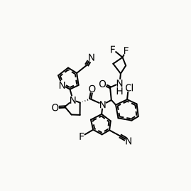 N#Cc1cc(F)cc(N(C(=O)[C@@H]2CCC(=O)N2c2cc(C#N)ccn2)C(C(=O)NC2CC(F)(F)C2)c2ccccc2Cl)c1